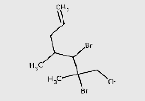 C=CCC(C)C(Br)C(C)(Br)C[O]